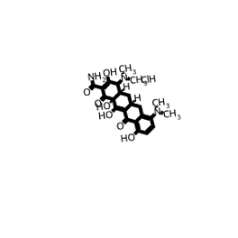 CN(C)[C]1C(O)=C(C(N)=O)C(=O)[C@@]2(O)C(O)=C3C(=O)c4c(O)ccc(N(C)C)c4C[C@H]3C[C@@H]12.Cl